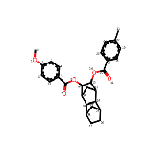 COc1ccc(C(=O)OC2C3CC(C2OC(=O)c2ccc(C)cc2)C2C4CCC(C4)C32)cc1